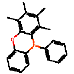 Cc1c(C)c(C)c2c(c1C)Oc1ccccc1P2c1ccccc1